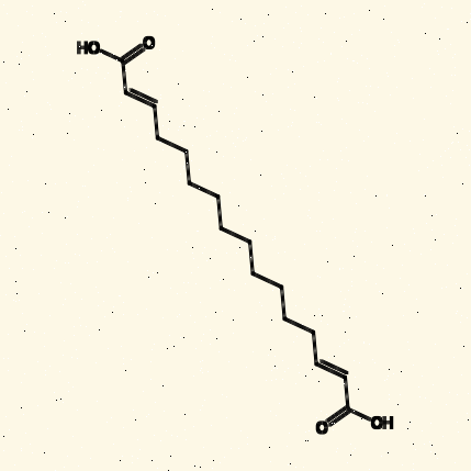 O=C(O)C=CCCCCCCCCCCC=CC(=O)O